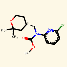 CC(C)(C)OC(=O)N(C[C@H]1CCOC(C)(C)C1)c1cccc(Br)n1